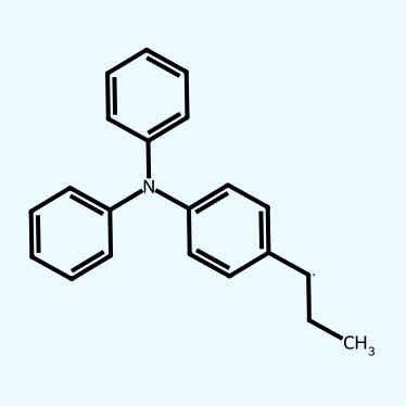 CC[CH]c1ccc(N(c2ccccc2)c2ccccc2)cc1